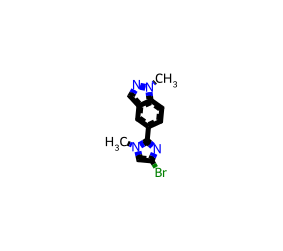 Cn1cc(Br)nc1-c1ccc2c(cnn2C)c1